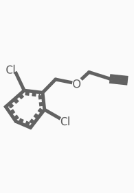 C#CCOCc1c(Cl)cccc1Cl